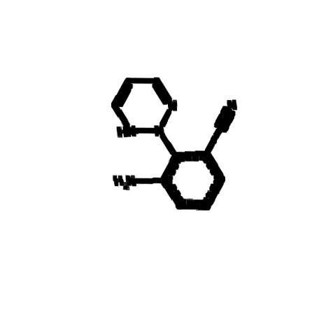 N#Cc1cccc(N)c1N1N=CC=CN1